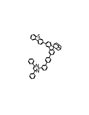 c1ccc(-c2cc(-c3ccccc3)nc(-c3cccc(-c4ccc(-c5ccc6c(c5)-c5cc(-c7ccc8c(c7)sc7ccccc78)ccc5C65C6CC7CC(C6)CC5C7)cc4)c3)n2)cc1